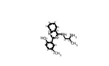 Cc1ccc(O)c(-c2nc(NCC(C)N)c3ccccc3n2)c1